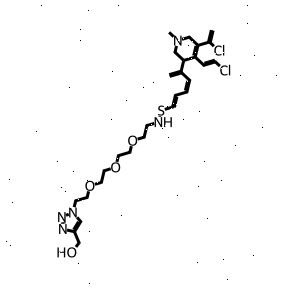 C=C(Cl)C1=C(/C=C/Cl)C(C(=C)/C=C\C=C\SNCCOCCOCCOCCn2cc(CO)nn2)CN(C)C1